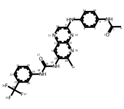 CC(=O)Nc1ccc(Nc2cnc3cc(NC(=O)Nc4cccc(C(F)(F)F)c4)c(C)nc3n2)cc1